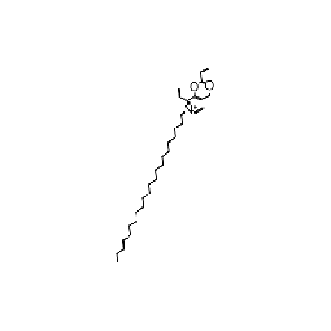 C=CC(=O)Oc1c(C)cc[n+](CCCCCCCCCCCCCCCCCCCCCC)c1CC